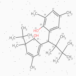 CC1=CC(C)(C(C)(C)C)C(O)C(C(c2cc(C)cc(C)c2O)C(C)(C)C(C)(C)C)=C1